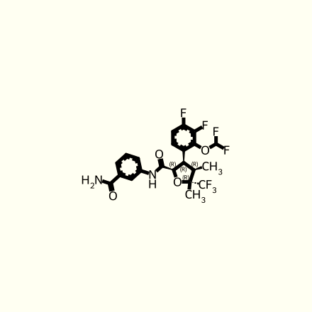 C[C@@H]1[C@H](c2ccc(F)c(F)c2OC(F)F)[C@H](C(=O)Nc2cccc(C(N)=O)c2)O[C@@]1(C)C(F)(F)F